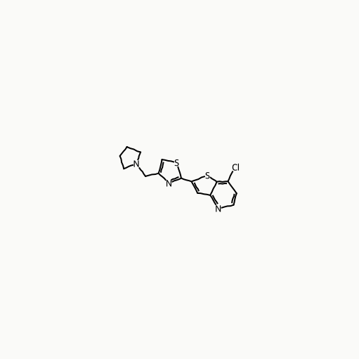 Clc1ccnc2cc(-c3nc(CN4CCCC4)cs3)sc12